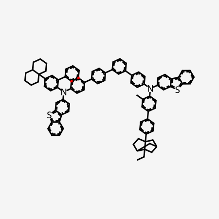 CCC12CC3CC1CCC2(c1ccc(-c2ccc(N(c4ccc(-c5cccc(-c6ccc(-c7ccc(N(c8ccc9c(c8)sc8ccccc89)c8ccc(C9%10CCCCC9CCCC%10)cc8-c8ccccc8)cc7)cc6)c5)cc4)c4ccc5c(c4)sc4ccccc45)c(C)c2)cc1)C3